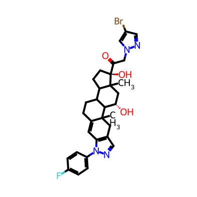 CC12Cc3cnn(-c4ccc(F)cc4)c3C=C1CCC1C2[C@@H](O)CC2(C)C1CC[C@]2(O)C(=O)Cn1cc(Br)cn1